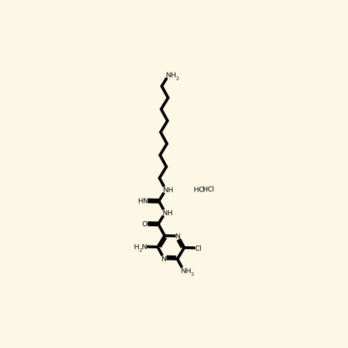 Cl.Cl.N=C(NCCCCCCCCCN)NC(=O)c1nc(Cl)c(N)nc1N